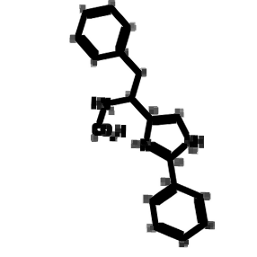 O=C(O)NC(Cc1ccccc1)c1c[nH]c(-c2ccccc2)n1